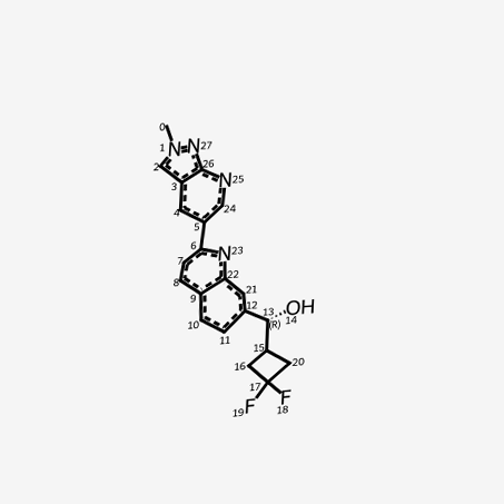 Cn1cc2cc(-c3ccc4ccc([C@H](O)C5CC(F)(F)C5)cc4n3)cnc2n1